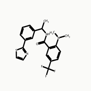 CC(NC(=O)c1cc(C(F)(F)F)ccc1N(C)C)c1cccc(-c2nccs2)c1